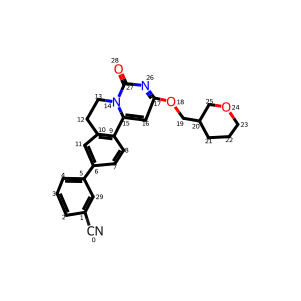 N#Cc1cccc(-c2ccc3c(c2)CCn2c-3cc(OCC3CCCOC3)nc2=O)c1